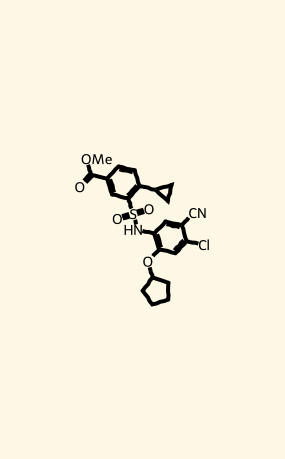 COC(=O)c1ccc(C2CC2)c(S(=O)(=O)Nc2cc(C#N)c(Cl)cc2OC2CCCC2)c1